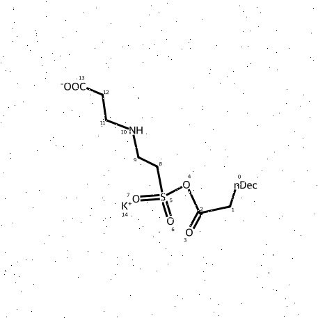 CCCCCCCCCCCC(=O)OS(=O)(=O)CCNCCC(=O)[O-].[K+]